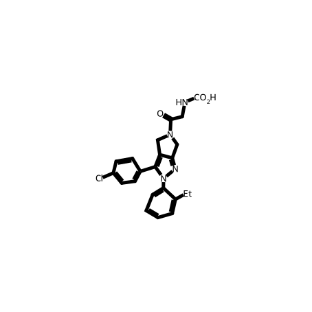 CCc1ccccc1-n1nc2c(c1-c1ccc(Cl)cc1)CN(C(=O)CNC(=O)O)C2